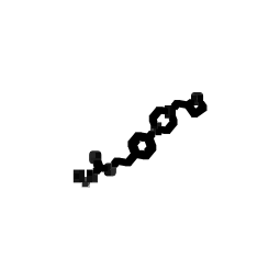 NC(=O)OCCc1ccc(N2CCN(CC3CCO3)CC2)cc1